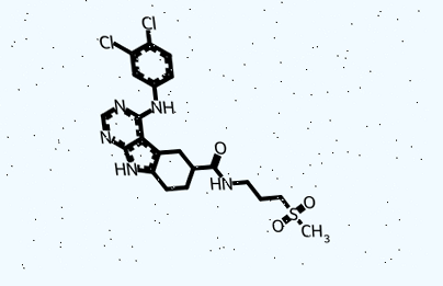 CS(=O)(=O)CCCNC(=O)C1CCc2[nH]c3ncnc(Nc4ccc(Cl)c(Cl)c4)c3c2C1